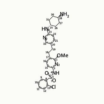 COc1nc(NS(=O)(=O)c2ccccc2Cl)ccc1CCc1ccc(N[C@H]2CC[C@H](N)CC2)nc1